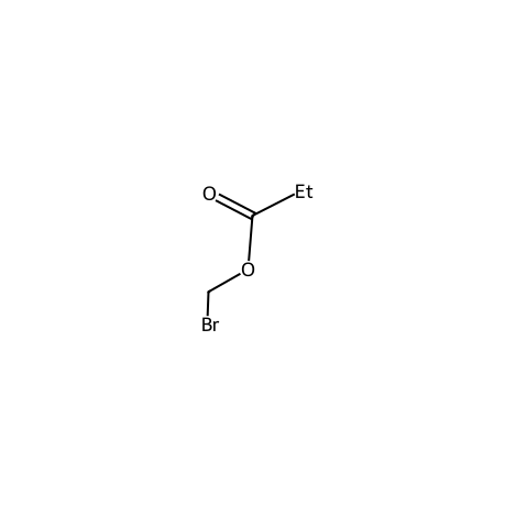 CCC(=O)OCBr